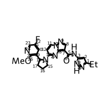 CCc1cc(NC(=O)c2cnn3ccc(N4CCCC4c4cc(F)cnc4OC)nc23)[nH]n1